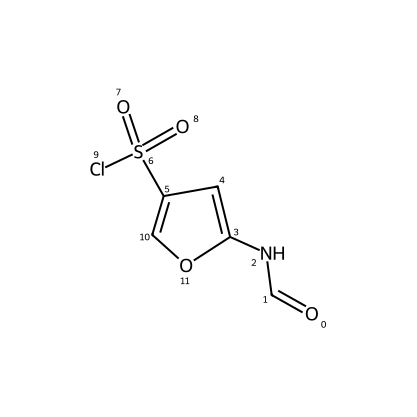 O=CNc1cc(S(=O)(=O)Cl)co1